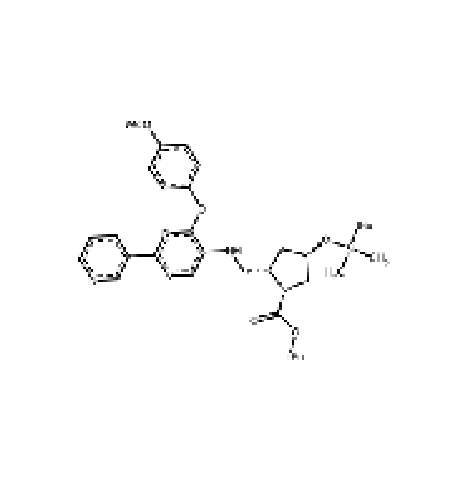 COc1ccc(Oc2nc(-c3cccnc3)ncc2NC[C@@H]2C[C@@H](O[Si](C)(C)C(C)(C)C)CN2C(=O)OC(C)(C)C)cc1